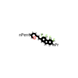 CCCCCC1CCC(CCc2cc3c(c(F)c2F)-c2c(cc(CCC)c(F)c2F)C3)OC1